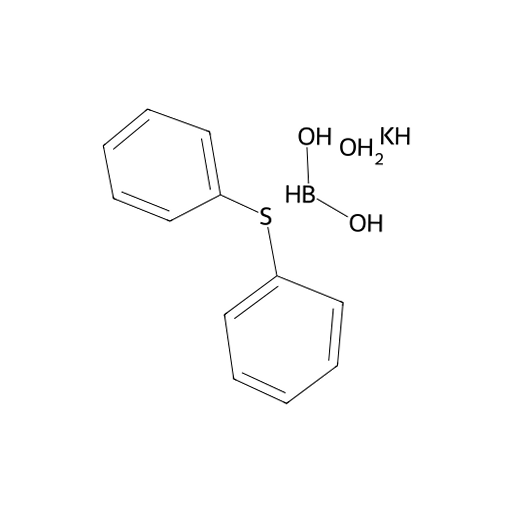 O.OBO.[KH].c1ccc(Sc2ccccc2)cc1